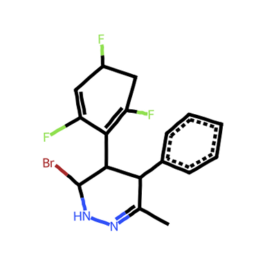 CC1=NNC(Br)C(C2=C(F)CC(F)C=C2F)C1c1ccccc1